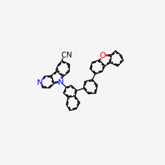 N#Cc1ccc2c(c1)c1cnccc1n2-c1cc(-c2cccc(-c3ccc4oc5ccccc5c4c3)c2)c2ccccc2c1